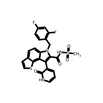 CS(=O)(=O)NC(=O)c1c(-c2ccc[nH]c2=O)c2c3sccc3ccc2n1Cc1ccc(F)cc1F